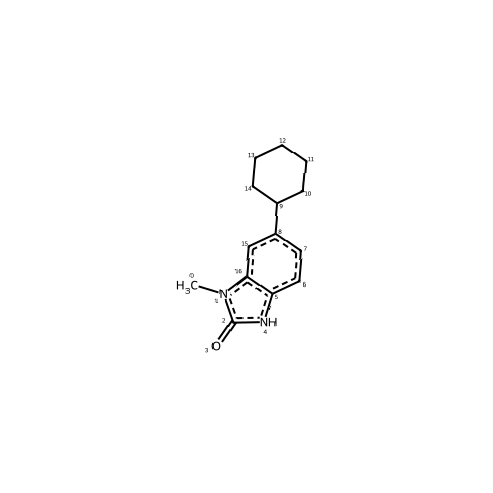 Cn1c(=O)[nH]c2ccc(C3CCCCC3)cc21